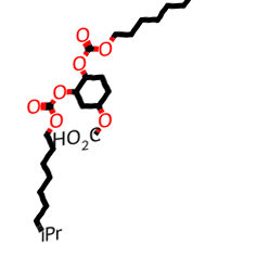 CC(C)CCCCCCCOC(=O)OC1CCC(OC(=O)O)CC1OC(=O)OCCCCCCCC(C)C